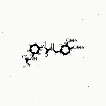 COc1ccc(CNC(=O)Nc2cccc(NC(=O)C(C)C)c2)cc1OC